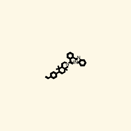 C=Cc1ccc(C2=CCC3(C)CN(C(=C)c4ccccc4-c4nc5ccccc5[nH]4)CC=C3C2(C)C)cc1